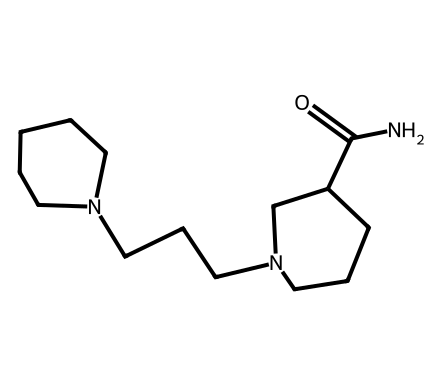 NC(=O)C1CCCN(CCCN2CCCCC2)C1